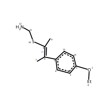 CCOc1ccc(/C(C)=C(\C)SCN)cc1